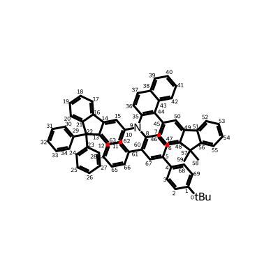 CC(C)(C)c1ccc(-c2ccc(N(c3ccc4c(c3)-c3ccccc3C4(c3ccccc3)c3ccccc3)c3ccc4ccccc4c3-c3ccc4c(c3)-c3ccccc3C4(C)C)c(-c3ccccc3)c2)cc1